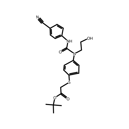 CC(C)(C)OC(=O)CSc1ccc(N(CCO)C(=O)Nc2ccc(C#N)cc2)cc1